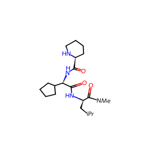 CNC(=O)[C@@H](CC(C)C)NC(=O)[C@H](NC(=O)[C@@H]1CCCCN1)C1CCCC1